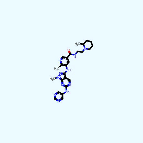 Cc1ncc(C(=O)NCCN2CCCCC2C)cc1Nc1nn(C)c2nc(Nc3cncnc3)ncc12